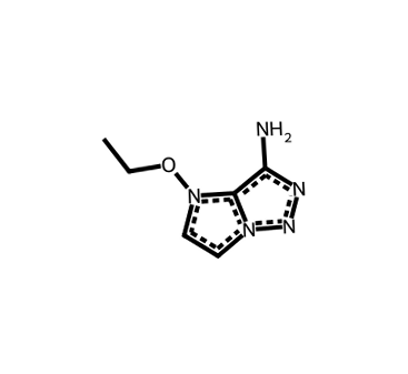 CCOn1ccn2nnc(N)c12